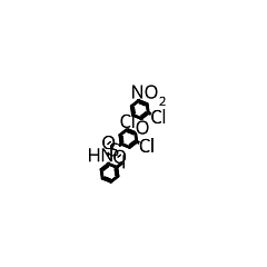 O=[N+]([O-])c1ccc(Oc2c(Cl)cc(S(=O)(=O)Nc3ccccc3I)cc2Cl)c(Cl)c1